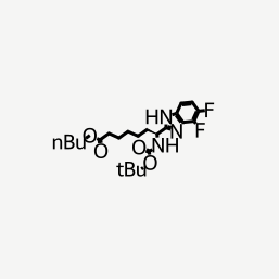 CCCCOC(=O)CCCCC[C@H](NC(=O)OC(C)(C)C)c1nc2c(F)c(F)ccc2[nH]1